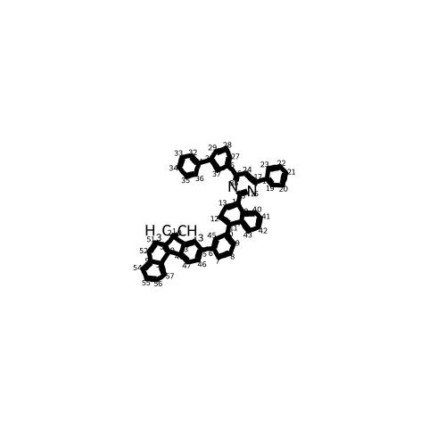 CC1(C)c2cc(-c3cccc(-c4ccc(-c5nc(-c6ccccc6)cc(-c6cccc(-c7ccccc7)c6)n5)c5ccccc45)c3)ccc2-c2c1ccc1ccccc21